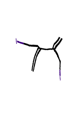 C=C(CI)C(=C)CI